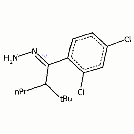 CCCC(/C(=N\N)c1ccc(Cl)cc1Cl)C(C)(C)C